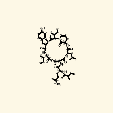 CCC(C)C(=O)N[C@@H](CCC(N)=O)C(=O)N[C@@H]1C(=O)NC(CC(C)C)C(=O)N[C@H]2CC=CN(C2=O)C(C(C)CC)C(=O)N(C)C(Cc2ccc(O)cc2)C(=O)N[C@@H](C(C)CC)C(=O)O[C@@H]1C